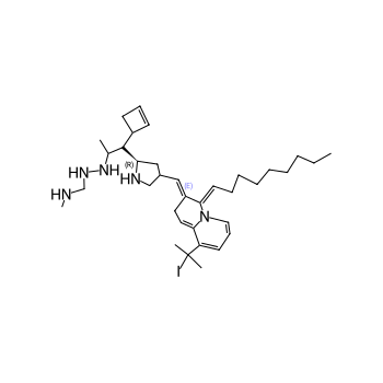 CCCCCCCCC=C1/C(=C/C2CN[C@@H](C(C3C=CC3)C(C)NNCNC)C2)CC=C2C(C(C)(C)I)=CC=CN21